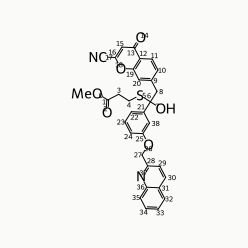 COC(=O)CCSC(O)(Cc1ccc2c(=O)cc(C#N)oc2c1)c1cccc(OCc2ccc3ccccc3n2)c1